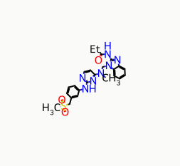 CCC(=O)Nc1nc2ccccc2n1CN(C)c1ccnc(Nc2cccc(CS(C)(=O)=O)c2)n1